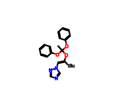 CC(OC(=Cn1cncn1)C(C)(C)C)(Oc1ccccc1)Oc1ccccc1